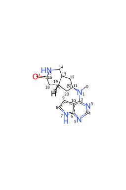 CN(c1ncnc2[nH]ccc12)[C@@H]1CC2CNC(=O)C[C@H]2C1